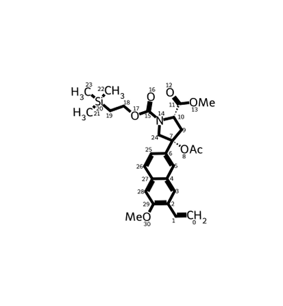 C=Cc1cc2cc([C@]3(OC(C)=O)C[C@@H](C(=O)OC)N(C(=O)OCC[Si](C)(C)C)C3)ccc2cc1OC